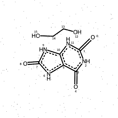 O=c1[nH]c(=O)c2[nH]c(=O)[nH]c2[nH]1.OCCO